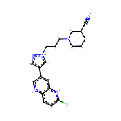 N#CC1CCCN(CCCn2cc(-c3cnc4ccc(Cl)nc4c3)cn2)C1